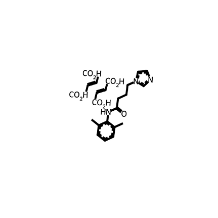 Cc1cccc(C)c1NC(=O)CCCn1ccnc1.O=C(O)C=CC(=O)O.O=C(O)C=CC(=O)O